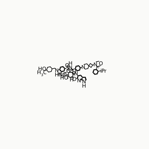 CC(C)c1ccccc1[C@@H]1COCCN1C1CC2(CCN(c3ccc(C(=O)NS(=O)(=O)c4ccc(NCC5CCC(C)(O)CC5)c([N+](=O)[O-])c4)c(N4c5cc6cc[nH]c6nc5O[C@@H]5C[C@@](C)(O)CC[C@H]54)c3)CC2)C1